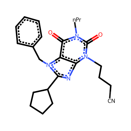 CCCn1c(=O)c2c(nc(C3CCCC3)n2Cc2ccccc2)n(CCCC#N)c1=O